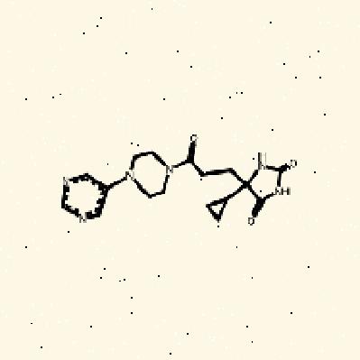 O=C1NC(=O)C(CCC(=O)N2CCN(c3cncnc3)CC2)(C2CC2)N1